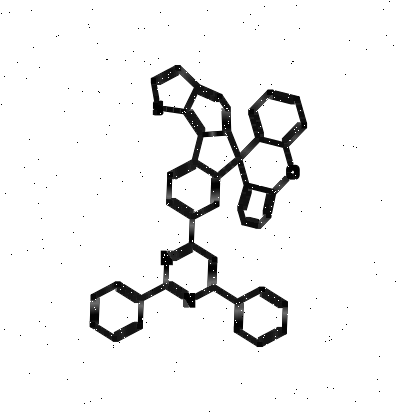 c1ccc(-c2cc(-c3ccc4c(c3)C3(c5ccccc5Oc5ccccc53)c3ccc5ccsc5c3-4)nc(-c3ccccc3)n2)cc1